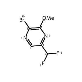 COc1nc(C(F)F)cnc1Br